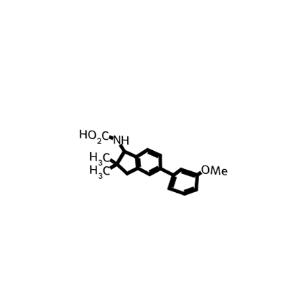 COc1cccc(-c2ccc3c(c2)CC(C)(C)C3NC(=O)O)c1